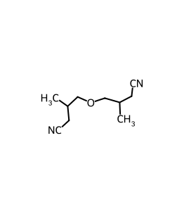 CC(CC#N)COCC(C)CC#N